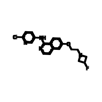 FC1CN(CCOc2ccc3c(Nc4ccc(Cl)nc4)nccc3c2)C1